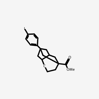 COC(=O)C12CCCC3CC(c4ccc(I)cc4)(CC3C1)C2